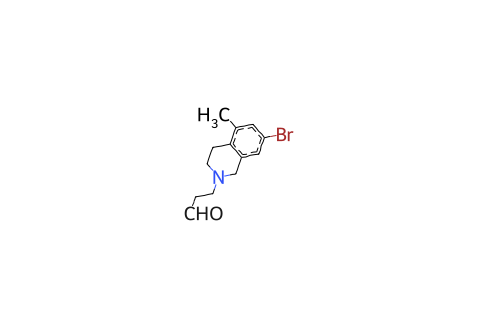 Cc1cc(Br)cc2c1CCN(CCC=O)C2